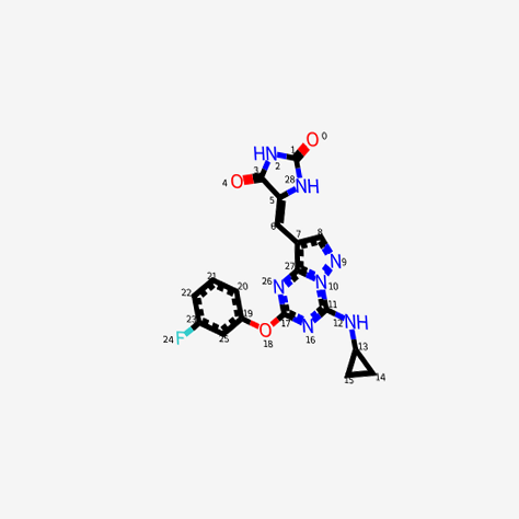 O=C1NC(=O)/C(=C/c2cnn3c(NC4CC4)nc(Oc4cccc(F)c4)nc23)N1